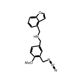 COc1ccc(CNCc2cccc3occc23)cc1CN=[N+]=[N-]